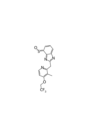 Cc1c(OCC(F)(F)F)ccnc1CC1=NC2=CC=CC(=S=O)C2=N1